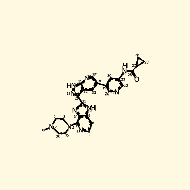 CN1CCN(c2nccc3[nH]c(-c4n[nH]c5ncc(-c6cncc(NC(=O)C7CC7)c6)cc45)nc23)CC1